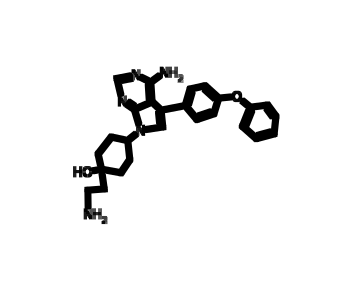 NCCC1(O)CCC(n2cc(-c3ccc(Oc4ccccc4)cc3)c3c(N)ncnc32)CC1